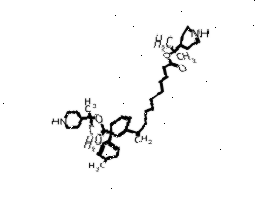 C=C(CCCCCCCCC(=O)OC(C)(C)C1CCNCC1)C1CCCC(C(=O)OC(C)(C)C2CCNCC2)(c2ccc(C)cc2)C1